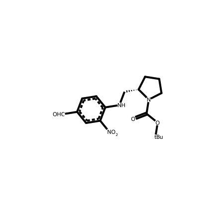 CC(C)(C)OC(=O)N1CCC[C@H]1CNc1ccc(C=O)cc1[N+](=O)[O-]